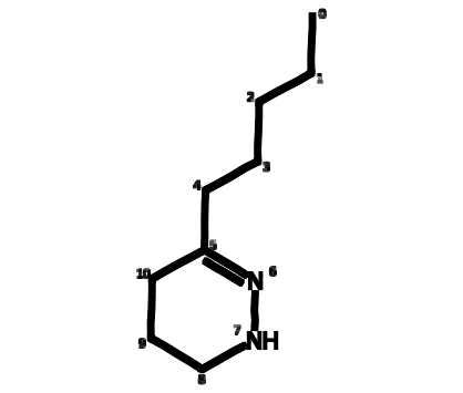 CCCCCC1=NNCCC1